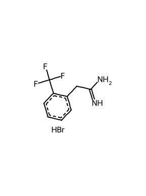 Br.N=C(N)Cc1ccccc1C(F)(F)F